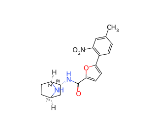 Cc1ccc(-c2ccc(C(=O)N[C@@H]3C[C@H]4CC[C@@H]3N4)o2)c([N+](=O)[O-])c1